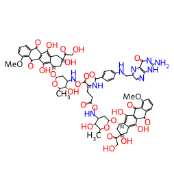 COc1cccc2c1C(=O)c1c(O)c3c(c(O)c1C2=O)C[C@@](O)(C(=O)CO)C[C@@H]3OC1CC(NOC(=O)CC[C@H](NC(=O)c2ccc(NCc3cnc4[nH]c(N)nc(=O)c4n3)cc2)C(=O)ONC2CC(O[C@H]3C[C@](O)(C(=O)CO)Cc4c(O)c5c(c(O)c43)C(=O)c3c(OC)cccc3C5=O)OC(C)C2O)C(O)C(C)O1